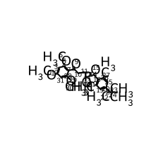 COc1cc(OC)c(C(=O)CC[PH](=O)C(=O)c2c(C)cc(C(C)(C)C)cc2C)c(OC)c1